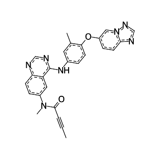 CC#CC(=O)N(C)c1ccc2ncnc(Nc3ccc(Oc4ccc5ncnn5c4)c(C)c3)c2c1